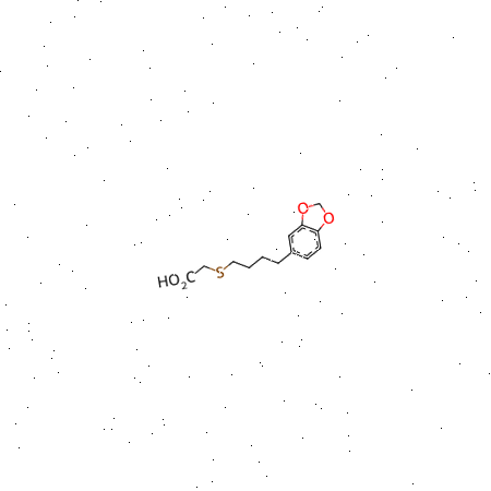 O=C(O)CSCCCCc1ccc2c(c1)OCO2